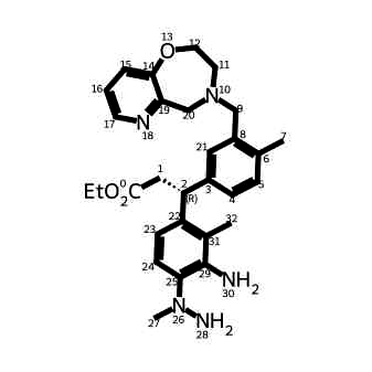 CCOC(=O)C[C@H](c1ccc(C)c(CN2CCOc3cccnc3C2)c1)c1ccc(N(C)N)c(N)c1C